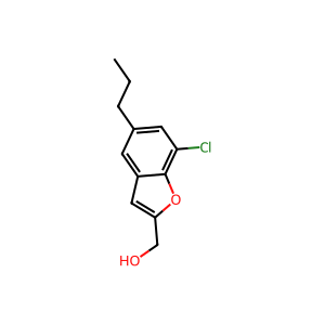 CCCc1cc(Cl)c2oc(CO)cc2c1